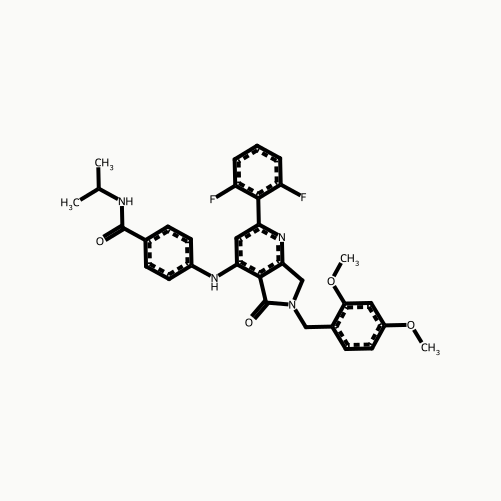 COc1ccc(CN2Cc3nc(-c4c(F)cccc4F)cc(Nc4ccc(C(=O)NC(C)C)cc4)c3C2=O)c(OC)c1